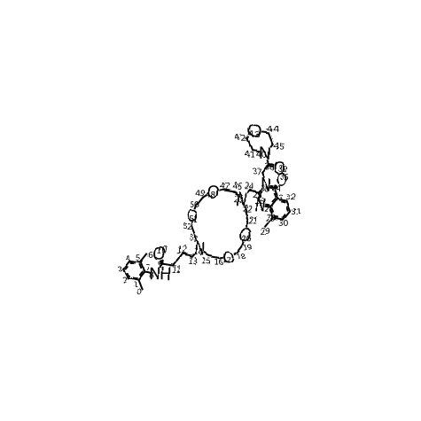 Cc1cccc(C)c1NC(=O)CCCN1CCOCCOCCN(Cc2nc3c(C)cccc3c(=O)n2CC(=O)N2CCOCC2)CCOCCOCC1